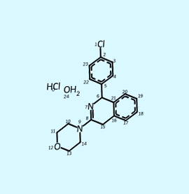 Cl.Clc1ccc(C2N=C(N3CCOCC3)Cc3ccccc32)cc1.O